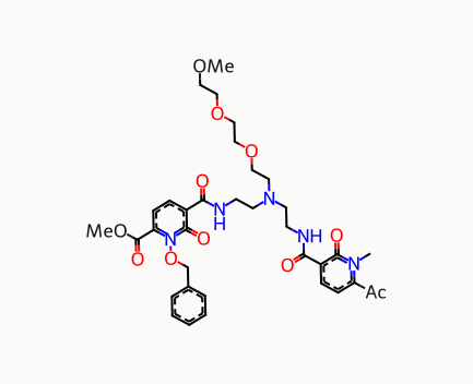 COCCOCCOCCN(CCNC(=O)c1ccc(C(C)=O)n(C)c1=O)CCNC(=O)c1ccc(C(=O)OC)n(OCc2ccccc2)c1=O